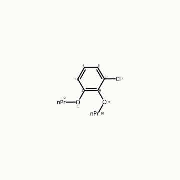 CCCOc1[c]ccc(Cl)c1OCCC